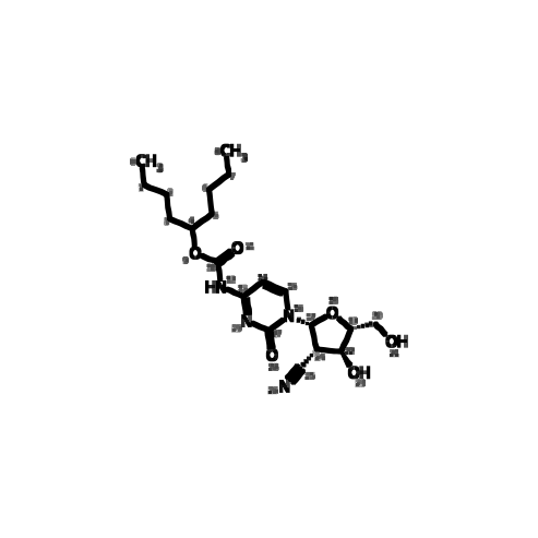 CCCCC(CCCC)OC(=O)Nc1ccn([C@@H]2O[C@H](CO)[C@@H](O)[C@@H]2C#N)c(=O)n1